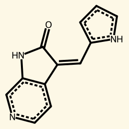 O=C1Nc2cnccc2C1=Cc1ccc[nH]1